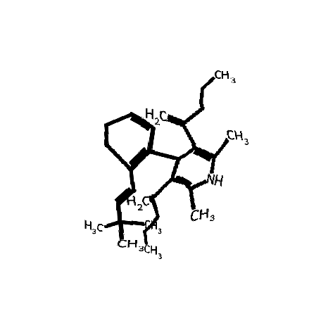 C=C(CCC)C1=C(C)NC(C)=C(C(=C)CCC)C1C1=C(/C=C/C(C)(C)C)CCC=C1